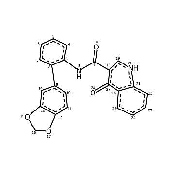 O=C(Nc1ccccc1-c1ccc2c(c1)OCO2)c1c[nH]c2ccccc2c1=O